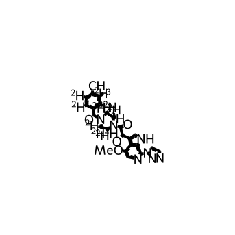 [2H]c1c([2H])c(C(=O)N2C([2H])([2H])C([2H])([2H])N(C(=O)C(=O)c3c[nH]c4c(-n5ccnn5)ncc(OC)c34)C([2H])([2H])C2([2H])[2H])c([2H])c([2H])c1C